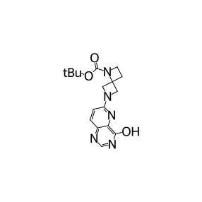 CC(C)(C)OC(=O)N1CCC12CN(c1ccc3ncnc(O)c3n1)C2